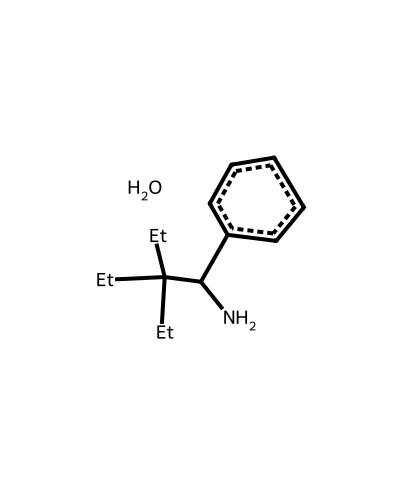 CCC(CC)(CC)C(N)c1ccccc1.O